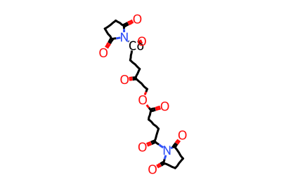 O=C(C[CH2][Co](=[O])[N]1C(=O)CCC1=O)COC(=O)CCC(=O)N1C(=O)CCC1=O